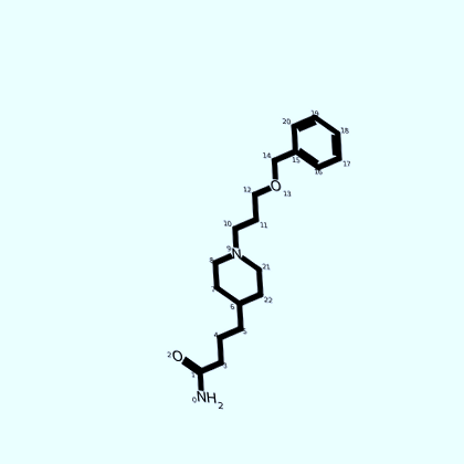 NC(=O)CCCC1CCN(CCCOCc2ccccc2)CC1